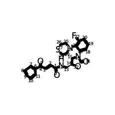 O=C(C=CC(=O)c1ccccc1)NC[C@H]1CN(c2cccc(F)c2N2CCSCC2)C(=O)O1